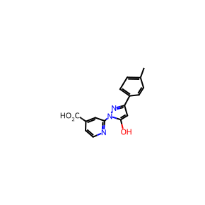 Cc1ccc(-c2cc(O)n(-c3cc(C(=O)O)ccn3)n2)cc1